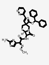 CON=C(C(=O)NC1C(=O)N2CC(C=Cc3cccnn3)(C(=O)OC(c3ccccc3)c3ccccc3)CS[C@H]12)c1csc(N)n1